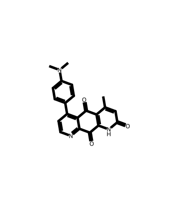 Cc1cc(=O)[nH]c2c1C(=O)c1c(-c3ccc(N(C)C)cc3)ccnc1C2=O